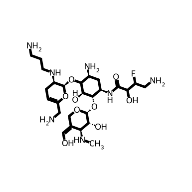 CN[C@H]1/C(=C\O)CO[C@H](O[C@H]2[C@H](NC(=O)C(O)C(F)CN)C[C@H](N)C(O[C@H]3OC(CN)=CC[C@H]3NCCCN)[C@@H]2O)[C@@H]1O